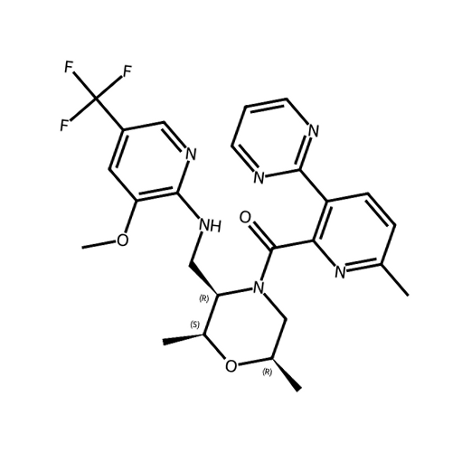 COc1cc(C(F)(F)F)cnc1NC[C@@H]1[C@H](C)O[C@H](C)CN1C(=O)c1nc(C)ccc1-c1ncccn1